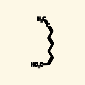 C=C=CC=CC/C=C\C(=O)O